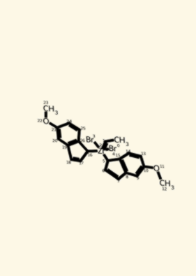 C[CH]=[Zr]([Br])([Br])([CH]1C=Cc2cc(OC)ccc21)[CH]1C=Cc2cc(OC)ccc21